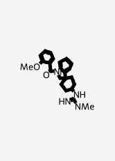 CNC(=N)NC1CCC(CNC(=O)c2ccccc2OC)(c2ccccc2)CC1